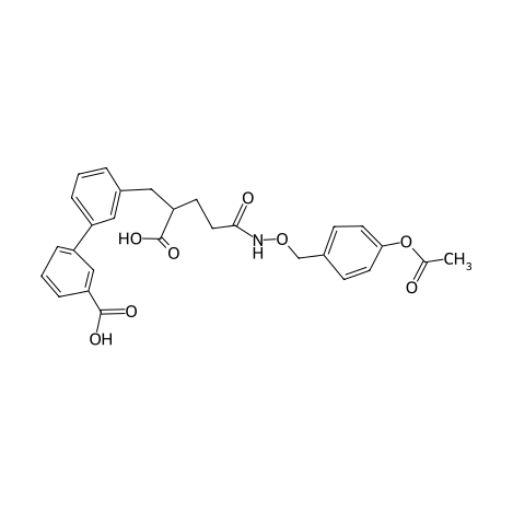 CC(=O)Oc1ccc(CONC(=O)CCC(Cc2cccc(-c3cccc(C(=O)O)c3)c2)C(=O)O)cc1